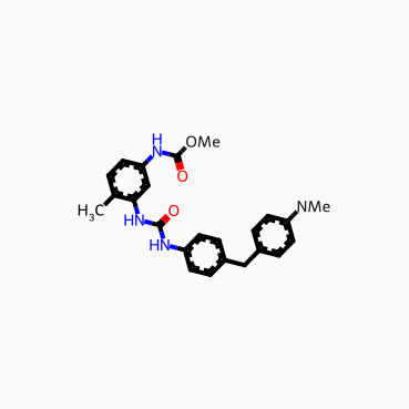 CNc1ccc(Cc2ccc(NC(=O)Nc3cc(NC(=O)OC)ccc3C)cc2)cc1